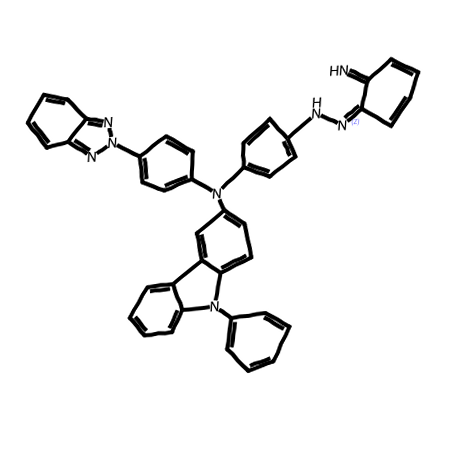 N=C1C=CC=C/C1=N/Nc1ccc(N(c2ccc(-n3nc4ccccc4n3)cc2)c2ccc3c(c2)c2ccccc2n3-c2ccccc2)cc1